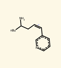 CCCCC(N)C/C=C\c1cccnc1